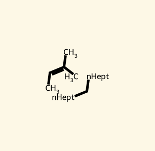 CC=C(C)C.CCCCCCCCCCCCCCC